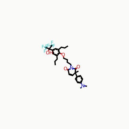 CCCc1cc(C(O)(C(F)(F)F)C(F)(F)F)cc(CCC)c1OCCCCN1C(=O)C=CC(C)(c2ccc(N(C)C)cc2)C1=O